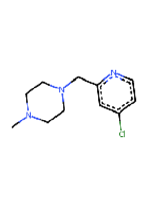 CN1CCN(Cc2cc(Cl)ccn2)CC1